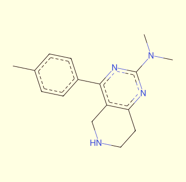 Cc1ccc(-c2nc(N(C)C)nc3c2CNCC3)cc1